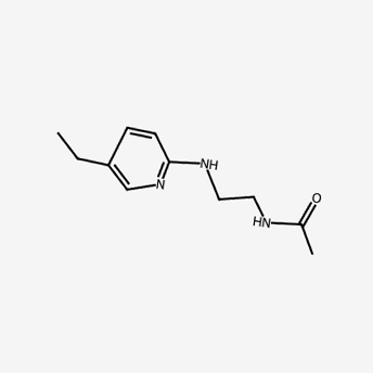 CCc1ccc(NCCNC(C)=O)nc1